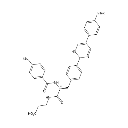 CCCCCCc1ccc(C2=CNC(c3ccc(C[C@H](NC(=O)c4ccc(C(C)(C)C)cc4)C(=O)NCCC(=O)O)cc3)N=C2)cc1